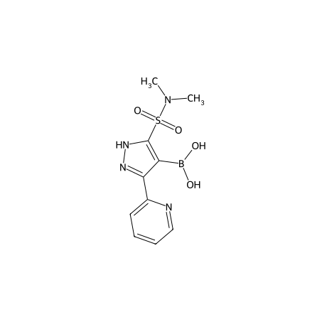 CN(C)S(=O)(=O)c1[nH]nc(-c2ccccn2)c1B(O)O